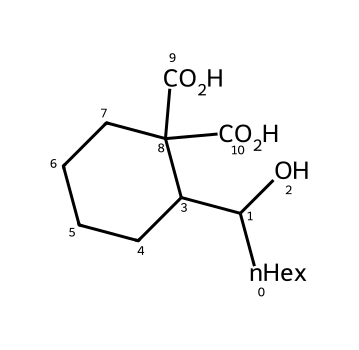 CCCCCCC(O)C1CCCCC1(C(=O)O)C(=O)O